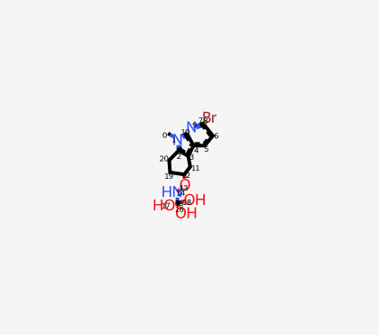 Cn1c2c(c3ccc(Br)nc31)CC(ONC(O)(O)O)CC2